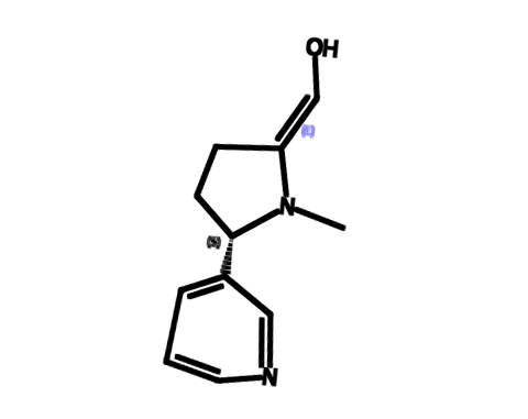 CN1/C(=C/O)CC[C@H]1c1cccnc1